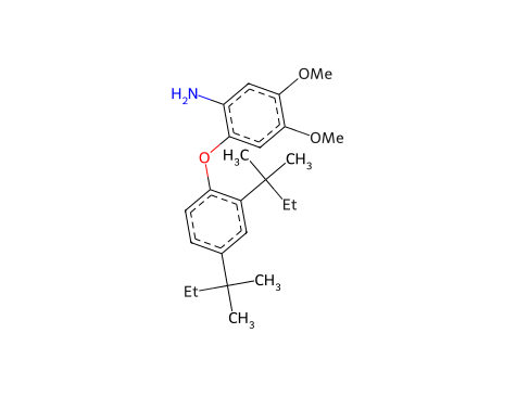 CCC(C)(C)c1ccc(Oc2cc(OC)c(OC)cc2N)c(C(C)(C)CC)c1